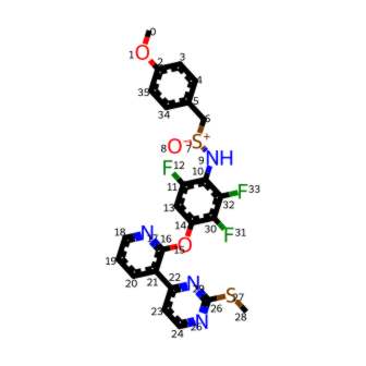 COc1ccc(C[S+]([O-])Nc2c(F)cc(Oc3ncccc3-c3ccnc(SC)n3)c(F)c2F)cc1